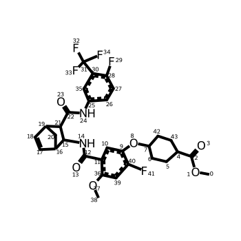 COC(=O)C1CCC(Oc2cc(C(=O)NC3C4C=CC(C4)C3C(=O)Nc3ccc(F)c(C(F)(F)F)c3)c(OC)cc2F)CC1